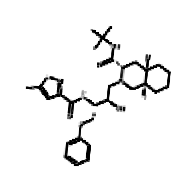 Cc1cc(C(=O)N[C@@H](CSc2ccccc2)[C@H](O)CN2C[C@H]3CCCC[C@H]3C[C@H]2C(=O)NC(C)(C)C)no1